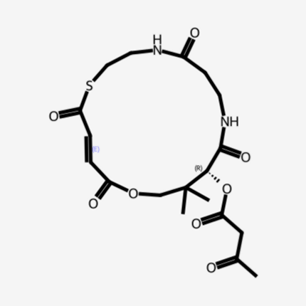 CC(=O)CC(=O)O[C@H]1C(=O)NCCC(=O)NCCSC(=O)/C=C/C(=O)OCC1(C)C